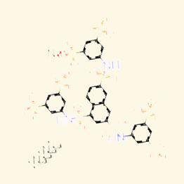 O=S(=O)([O-])c1cc(NS(=O)(=O)c2ccc3c(S(=O)(=O)Nc4cc(S(=O)(=O)[O-])cc(S(=O)(=O)[O-])c4)cc(S(=O)(=O)Nc4cc(S(=O)(=O)[O-])cc(S(=O)(=O)[O-])c4)cc3c2)cc(S(=O)(=O)[O-])c1.[Na+].[Na+].[Na+].[Na+].[Na+].[Na+]